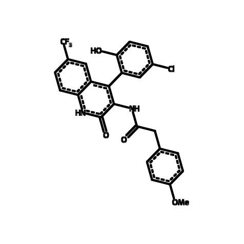 COc1ccc(CC(=O)Nc2c(-c3cc(Cl)ccc3O)c3cc(C(F)(F)F)ccc3[nH]c2=O)cc1